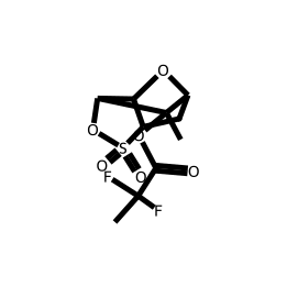 CC(F)(F)C(=O)OC1(C)C2CC3C(O2)C1OS3(=O)=O